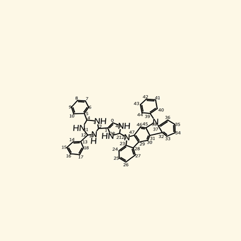 C1=C(C2NC(c3ccccc3)NC(c3ccccc3)N2)NC(n2c3ccccc3c3cc4c5ccccc5n(-c5ccccc5)c4cc32)N1